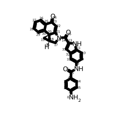 Nc1ccc(C(=O)Nc2ccc3[nH]c(C(=O)N4C[C@H]5C[C@@]56C4=CC(=O)c4ccccc46)cc3c2)cc1